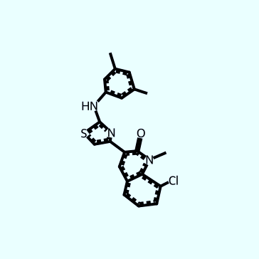 Cc1cc(C)cc(Nc2nc(-c3cc4cccc(Cl)c4n(C)c3=O)cs2)c1